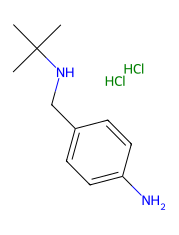 CC(C)(C)NCc1ccc(N)cc1.Cl.Cl